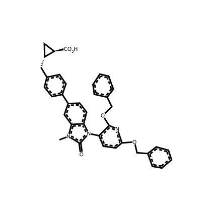 Cn1c(=O)n(-c2ccc(OCc3ccccc3)nc2OCc2ccccc2)c2ccc(-c3ccc(C[C@@H]4C[C@H]4C(=O)O)cc3)cc21